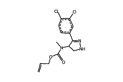 C=CCOC(=O)N(C)C1CNN=C1c1ccc(Cl)c(Cl)c1